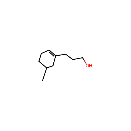 CC1CCC=C(CCCO)C1